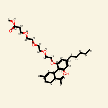 C=C(C)C1CCC(C)=CC1c1c(O)cc(CCCCC)cc1OCCOCCOCCOCCC(=O)OC